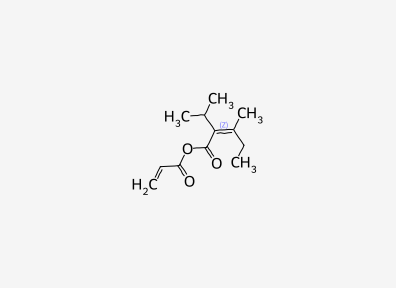 C=CC(=O)OC(=O)/C(=C(/C)CC)C(C)C